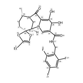 CCC1=NO[C@@]2(CC[C@H](C)N3C[C@H]2N2C=C(C(=O)NCc4c(F)cc(F)cc4F)C(O)C(O)=C2C3=O)O1